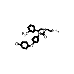 NCCN1CC(c2cccc(C(F)(F)F)c2)N(c2ccc(Oc3ccc(Cl)cc3)cc2)C1=O